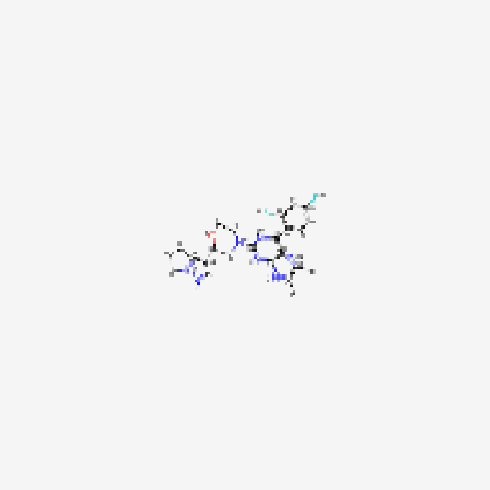 Cc1nc2nc(N3CCO[C@@H](c4cnn5c4CCC5)C3)nc(-c3ccc(F)cc3F)c2nc1C